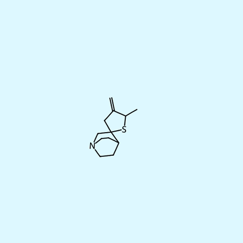 C=C1CC2(CN3CCC2CC3)SC1C